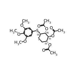 COc1cc(S[C@@H]2SC[C@@H](OC(C)=O)[C@H](OC(C)=O)[C@H]2OC(C)=O)cc(OC)c1OC